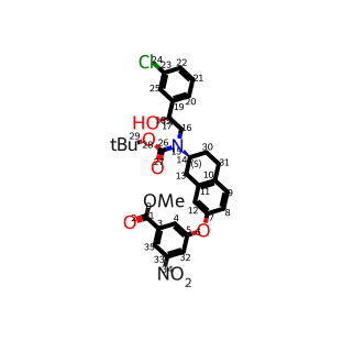 COC(=O)c1cc(Oc2ccc3c(c2)C[C@@H](N(C[C@@H](O)c2cccc(Cl)c2)C(=O)OC(C)(C)C)CC3)cc([N+](=O)[O-])c1